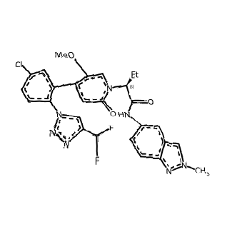 CC[C@@H](C(=O)Nc1ccc2nn(C)cc2c1)n1cc(OC)c(-c2cc(Cl)ccc2-n2cc(C(F)F)nn2)cc1=O